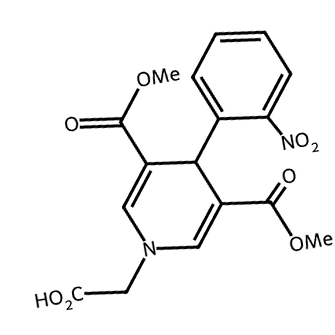 COC(=O)C1=CN(CC(=O)O)C=C(C(=O)OC)C1c1ccccc1[N+](=O)[O-]